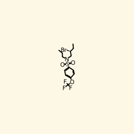 CCCN(C[C@@H](Br)CC)S(=O)(=O)c1ccc(OC(F)(F)F)cc1